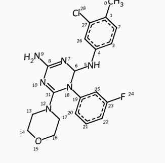 Cc1ccc(NC2N=C(N)N=C(N3CCOCC3)N2c2cccc(F)c2)cc1Cl